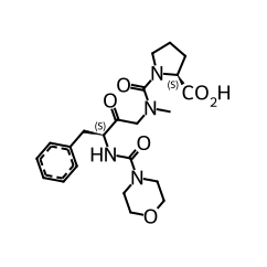 CN(CC(=O)[C@H](Cc1ccccc1)NC(=O)N1CCOCC1)C(=O)N1CCC[C@H]1C(=O)O